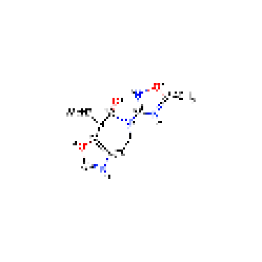 CNC1C(=O)N(c2noc(C)n2)CCc2ncoc21